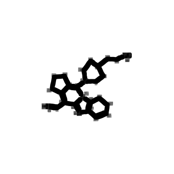 N=Cc1c2c(c(N3CCC(CCN=O)CC3)n3c4c(nc13)C=CCC4)CCC2